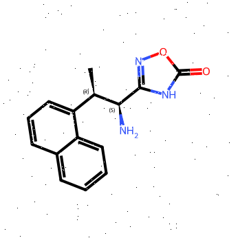 C[C@H](c1cccc2ccccc12)[C@H](N)c1noc(=O)[nH]1